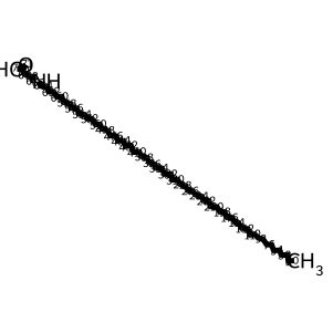 CCCCCCCCCCCCCCCCCCCCCCCCCCCCCCCCCCCCCCCCCCCCCCCCCCCCCCCCCCCCCCCCCCNCCCC(=O)O